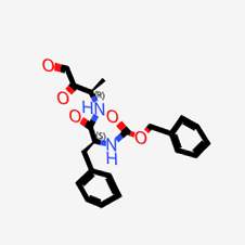 C[C@@H](NC(=O)[C@H](Cc1ccccc1)NC(=O)OCc1ccccc1)C(=O)C=O